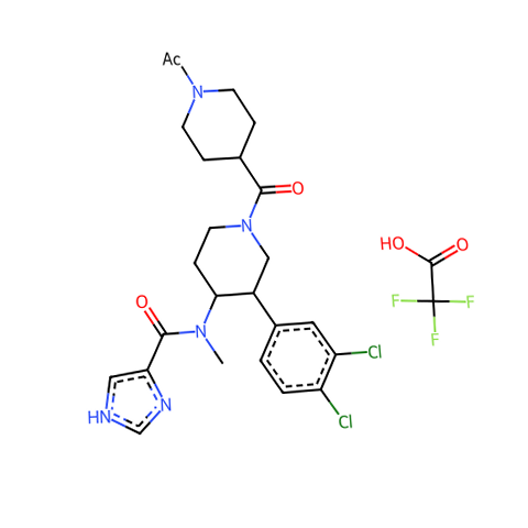 CC(=O)N1CCC(C(=O)N2CCC(N(C)C(=O)c3c[nH]cn3)C(c3ccc(Cl)c(Cl)c3)C2)CC1.O=C(O)C(F)(F)F